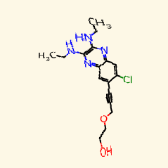 CCNc1nc2cc(Cl)c(C#CCOCCO)cc2nc1NCC